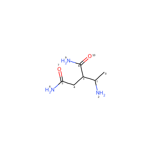 CC(N)C(CC(N)=O)C(N)=O